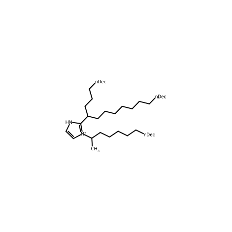 CCCCCCCCCCCCCCCCCC(CCCCCCCCCCCCC)c1[nH]cc[n+]1C(C)CCCCCCCCCCCCCCC